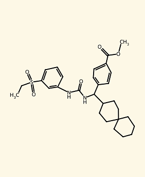 CCS(=O)(=O)c1cccc(NC(=O)NC(c2ccc(C(=O)OC)cc2)C2CCC3(CCCCC3)CC2)c1